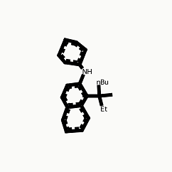 CCCCC(C)(CC)c1c(Nc2ccccc2)ccc2ccccc12